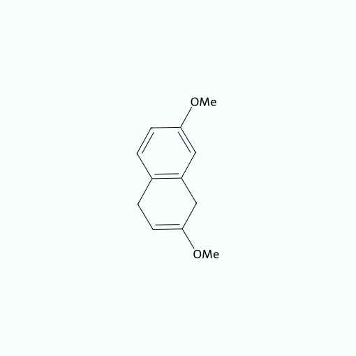 COC1=CCc2ccc(OC)cc2C1